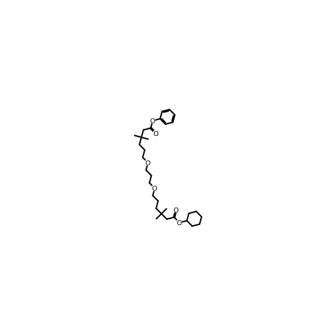 CC(C)(CCCOCCCOCCCC(C)(C)CC(=O)OC1CCCCC1)CC(=O)Oc1ccccc1